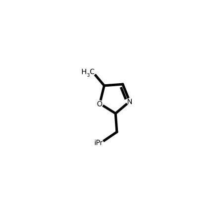 CC(C)CC1N=CC(C)O1